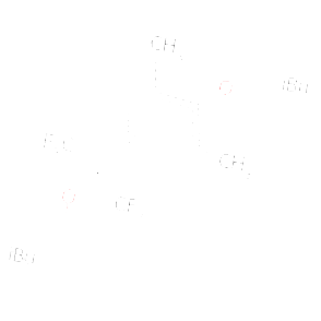 CCC(C)COc1c(C)cc(C(OCC(C)CC)(C(F)(F)F)C(F)(F)F)cc1C